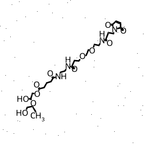 CCC(CO)OC(O)COC(=O)CCCC(=O)NCCNC(=O)CCOCCOCCNC(=O)CCN1C(=O)C=CC1=O